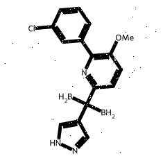 BC(B)(c1cn[nH]c1)c1ccc(OC)c(-c2cccc(Cl)c2)n1